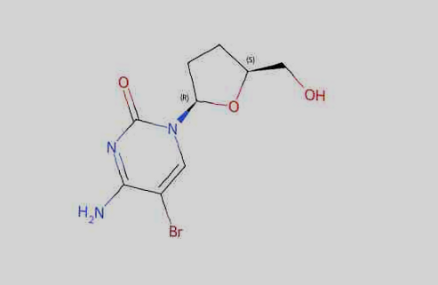 Nc1nc(=O)n([C@H]2CC[C@@H](CO)O2)cc1Br